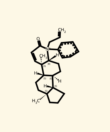 C=CC[N+]1(c2ccccc2)C(=O)C=C[C@@]2(C)[C@H]1CC[C@H]1[C@@H]3CCC[C@@]3(C)CC[C@@H]12